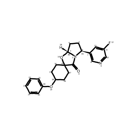 O=C1N2[C@@H](CC[C@H]2c2cncc(F)c2)OC12CCC(Oc1ccccc1)CC2